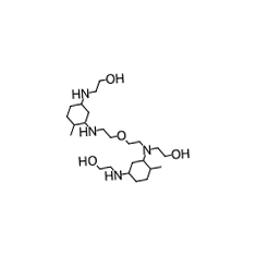 CC1CCC(NCCO)CC1NCCOCCN(CCO)C1CC(NCCO)CCC1C